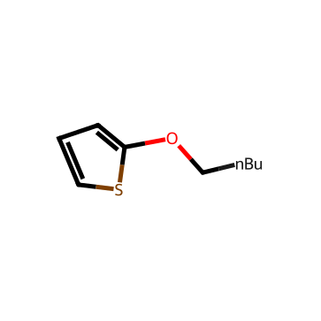 CCCCCOc1cccs1